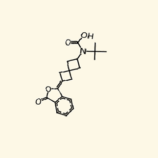 CC(C)(C)N(C(=O)O)C1CC2(CC(=C3OC(=O)c4ccccc43)C2)C1